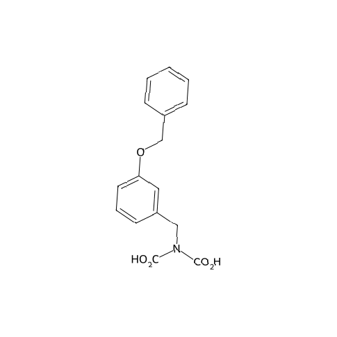 O=C(O)N(Cc1cccc(OCc2ccccc2)c1)C(=O)O